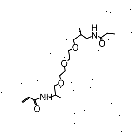 C=CC(=O)NCC(C)COCCOCCOCC(C)CNC(=O)CC